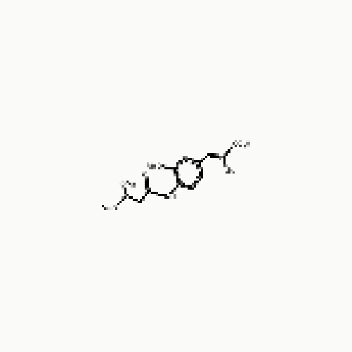 COc1nc(/C=C(/C(=O)O)C(C)(C)C)ccc1NC(=O)CC(OC)OC